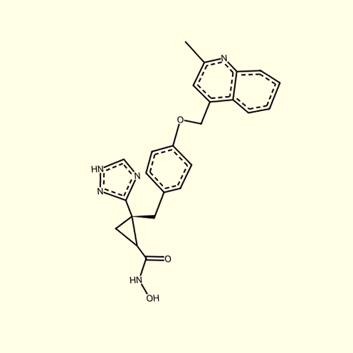 Cc1cc(COc2ccc(C[C@]3(c4nc[nH]n4)CC3C(=O)NO)cc2)c2ccccc2n1